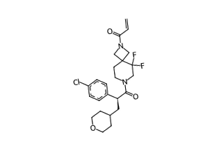 C=CC(=O)N1CC2(CCN(C(=O)[C@@H](CC3CCOCC3)c3ccc(Cl)cc3)CC2(F)F)C1